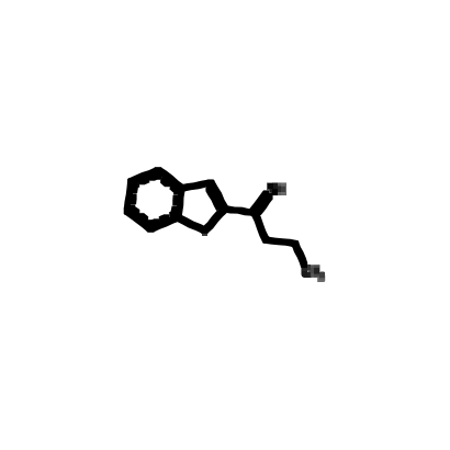 CCCC(=N)C1=Cc2ccccc2[CH]1